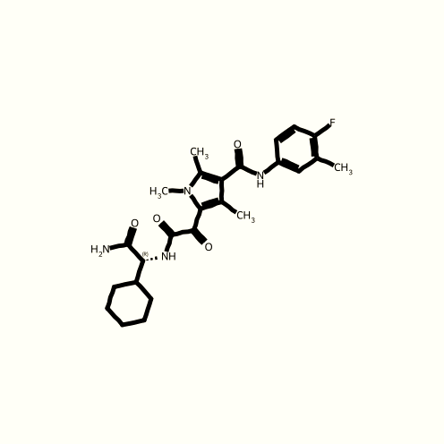 Cc1cc(NC(=O)c2c(C)c(C(=O)C(=O)N[C@@H](C(N)=O)C3CCCCC3)n(C)c2C)ccc1F